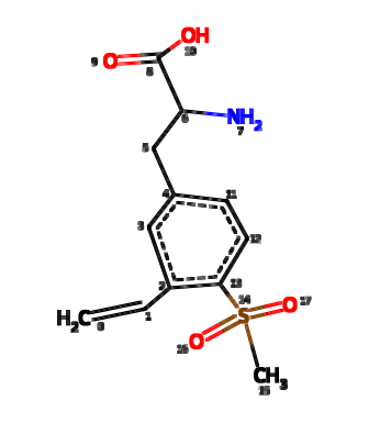 C=Cc1cc(CC(N)C(=O)O)ccc1S(C)(=O)=O